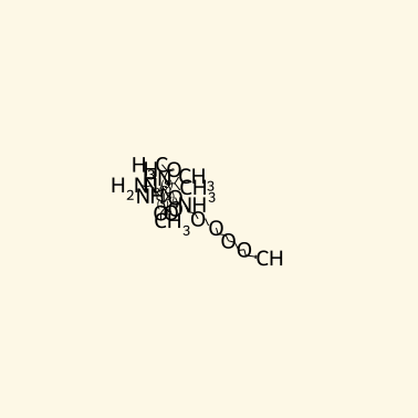 C#CCOCCOCCOCCOCCNC(=O)O[C@H]1[C@@H]([C@@H](NC(C)=O)C(CC)CC)[C@H](NC(=N)N)C[C@@H]1C(=O)OC